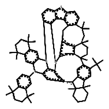 CC(C)(C)c1cc2c3cc1C1(C)CCC4(C)CC(C)(C)c5ccc6sc7ccc8c9c7c6c5Cc5cc4c1cc5N9c1cc(cc4c1B8c1cc5c(cc1N4c1ccc4c(c1)C(C)(C)CCC4(C)C)C(C)(C)CCC5(C)C)[C@@H]3C1(C)CCCCC21C